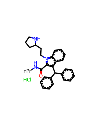 CCCNC(=O)c1c(C(c2ccccc2)c2ccccc2)c2ccccc2n1CCC1CCCN1.Cl